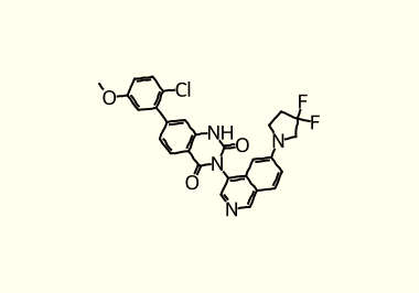 COc1ccc(Cl)c(-c2ccc3c(=O)n(-c4cncc5ccc(N6CCC(F)(F)C6)cc45)c(=O)[nH]c3c2)c1